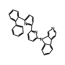 c1ccc(-c2ccccc2-c2cccc(-c3cccc(-n4c5ccccc5c5ccncc54)n3)n2)cc1